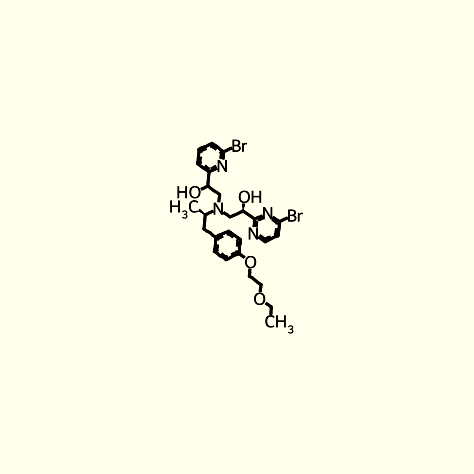 CCOCCOc1ccc(C[C@@H](C)N(CC(O)c2cccc(Br)n2)C[C@@H](O)c2nccc(Br)n2)cc1